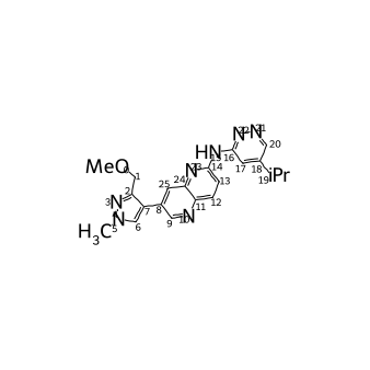 COCc1nn(C)cc1-c1cnc2ccc(Nc3cc(C(C)C)cnn3)nc2c1